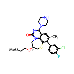 COCCO[C@@H]1CSc2c(-c3ccc(F)c(Cl)c3)c(C(F)(F)F)cc3c(N4CCNCC4)nc(=O)n(c23)C1